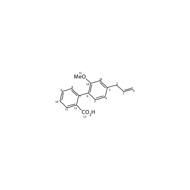 C=CCc1ccc(-c2ccccc2C(=O)O)c(OC)c1